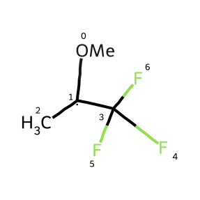 CO[C](C)C(F)(F)F